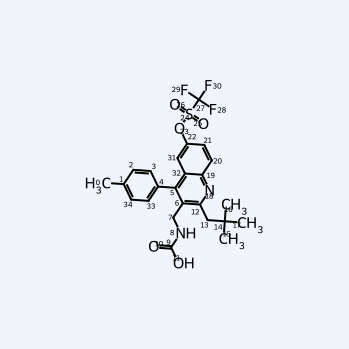 Cc1ccc(-c2c(CNC(=O)O)c(CC(C)(C)C)nc3ccc(OS(=O)(=O)C(F)(F)F)cc23)cc1